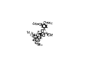 COc1ccc(CO[C@@H]2[C@@H](CO)O[C@@H](n3cnc4c(N(C)C(=O)OC(C)(C)C)nc(N)nc43)[C@]2(C)F)cc1OC